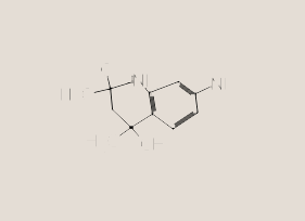 CC1(C)CC(C)(C)c2ccc(N)cc2N1